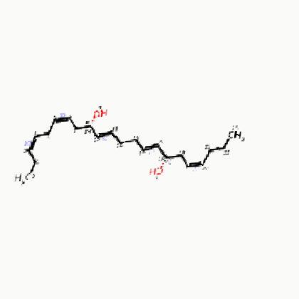 CC/C=C\C/C=C\C[C@H](O)/C=C/CC/C=C/[C@@H](O)C/C=C\CCC